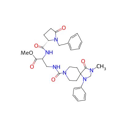 COC(=O)C(CNC(=O)N1CCC2(CC1)C(=O)N(C)CN2c1ccccc1)NC(=O)[C@@H]1CCC(=O)N1Cc1ccccc1